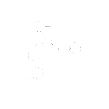 Cc1ccc(CN(C)Cc2cc(Cc3ccc(-c4cccc(S(C)(=O)=O)c4)s3)n(-c3ccccc3Cl)n2)cc1